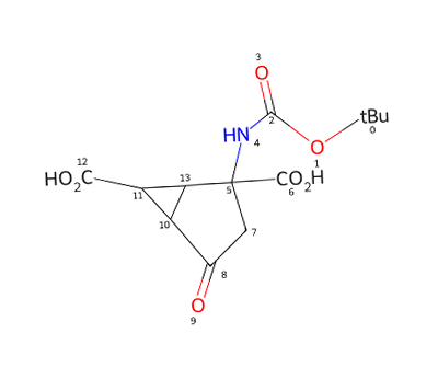 CC(C)(C)OC(=O)NC1(C(=O)O)CC(=O)C2C(C(=O)O)C21